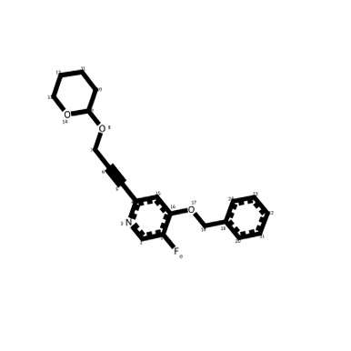 Fc1cnc(C#CCOC2CCCCO2)cc1OCc1ccccc1